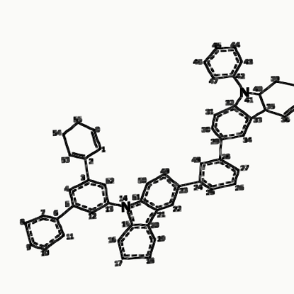 C1=CC(c2cc(-c3ccccc3)cc(-n3c4ccccc4c4cc(-c5cccc(-c6ccc7c(c6)C6C=CCCC6N7c6ccccc6)c5)ccc43)c2)=CCC1